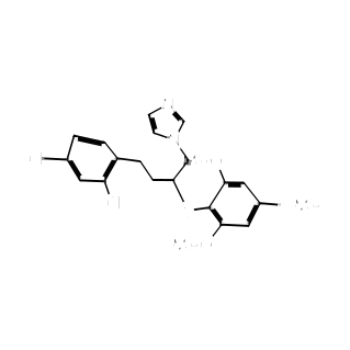 COc1cc(OC)c(SC(CCc2ccc(Cl)cc2Cl)Cn2ccnc2)c(OC)c1